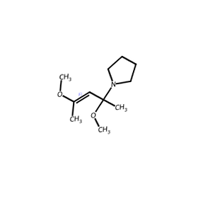 CO/C(C)=C/C(C)(OC)N1CCCC1